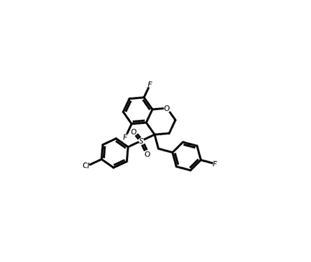 O=S(=O)(c1ccc(Cl)cc1)C1(Cc2ccc(F)cc2)CCOc2c(F)ccc(F)c21